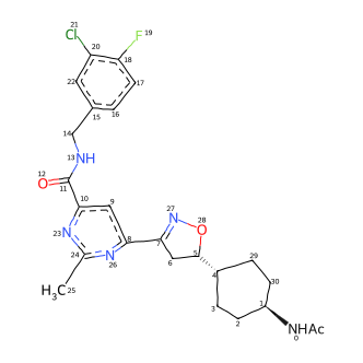 CC(=O)N[C@H]1CC[C@H](C2CC(c3cc(C(=O)NCc4ccc(F)c(Cl)c4)nc(C)n3)=NO2)CC1